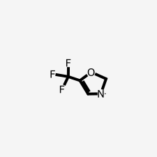 FC(F)(F)C1=C[N]CO1